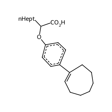 CCCCCCCC(Oc1ccc(/C2=C/CCCCCC2)cc1)C(=O)O